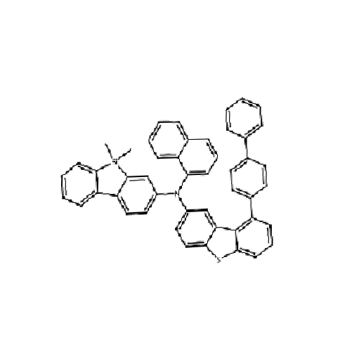 C[Si]1(C)c2ccccc2-c2ccc(N(c3ccc4sc5cccc(-c6ccc(-c7ccccc7)cc6)c5c4c3)c3cccc4ccccc34)cc21